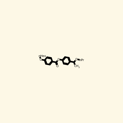 CCCCCCOc1ccc(C(=O)Oc2ccc(C(C)OCCC)cc2)cc1